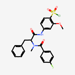 COc1cc(NC(=O)C(Cc2ccccc2)N(C)C(=O)c2ccc(F)cc2)ccc1S(=O)(=O)Cl